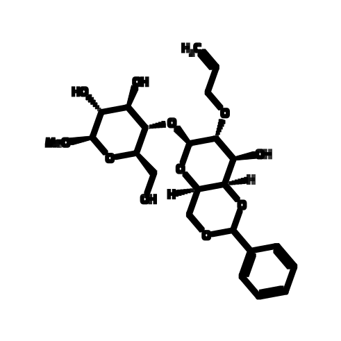 C=CCO[C@H]1[C@H](O[C@H]2[C@H](O)[C@@H](O)[C@H](OC)O[C@@H]2CO)O[C@@H]2COC(c3ccccc3)O[C@@H]2[C@@H]1O